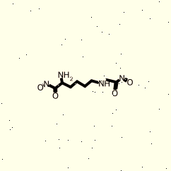 NC(CCCCNCC(=O)N=O)C(=O)N=O